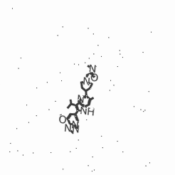 COc1cc(-c2[nH]c3cc(C)c(C4CCN(CC(=O)N(C)C)CC4)nc3c2C(C)C)cn2ncnc12